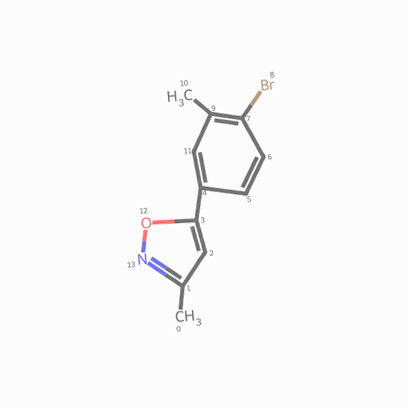 Cc1cc(-c2ccc(Br)c(C)c2)on1